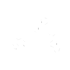 Cn1ccc2c(=O)n(CC3(O)CCN(C(=O)[C@@H]4CCN(C(=O)c5ccc6[nH]ccc6c5)C[C@H]4c4ccccc4)CC3)cnc21